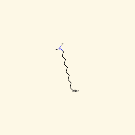 CCCCCCCCCCCCCCCCCCCN(C)CC